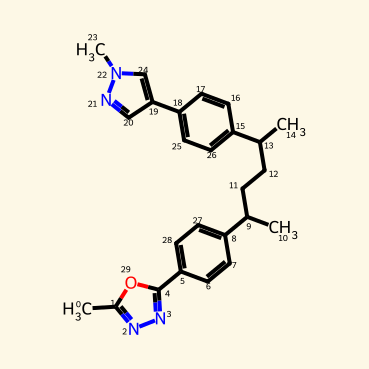 Cc1nnc(-c2ccc(C(C)CCC(C)c3ccc(-c4cnn(C)c4)cc3)cc2)o1